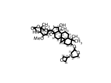 COC(C[C@@H](C)[C@H]1C[C@H](O)[C@@]2(C)C3CCC4C(C)(C)C(OC5CN(C6COC6)CCO5)CCC45CC35CCC12C)C1NC(=O)OC1(C)C